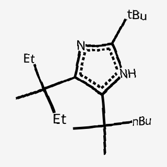 CCCCC(C)(C)c1[nH]c(C(C)(C)C)nc1C(C)(CC)CC